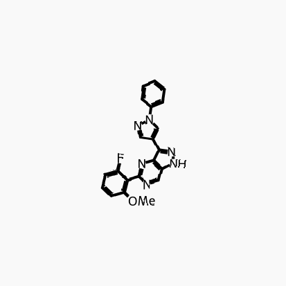 COc1cccc(F)c1-c1ncc2[nH]nc(-c3cnn(-c4ccccc4)c3)c2n1